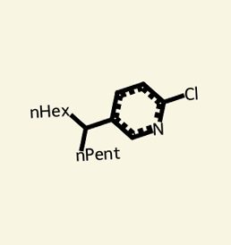 CCCCCCC(CCCCC)c1ccc(Cl)nc1